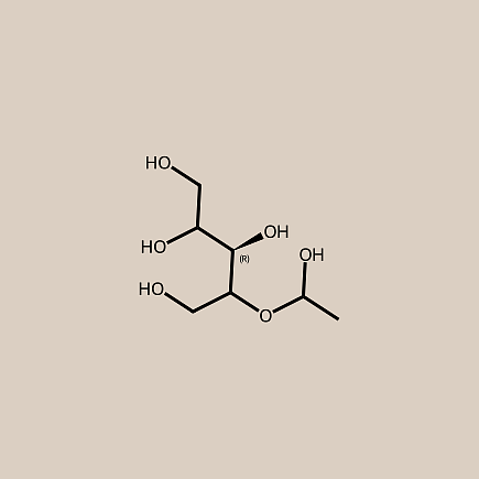 CC(O)OC(CO)[C@H](O)C(O)CO